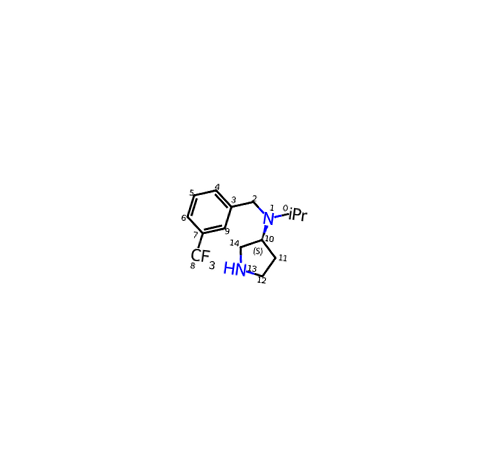 CC(C)N(Cc1cccc(C(F)(F)F)c1)[C@H]1CCNC1